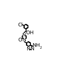 Nc1ncnc2cc(CN3CCN(CC(O)c4cccc(Cl)c4)CC3=O)ccc12